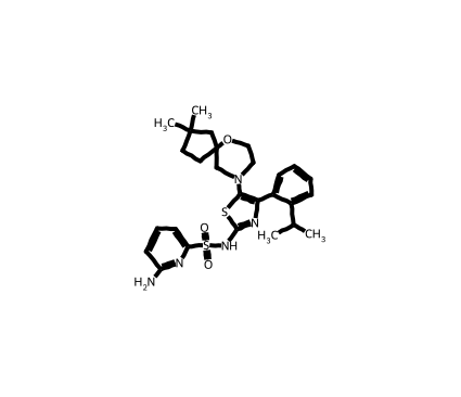 CC(C)c1ccccc1-c1nc(NS(=O)(=O)c2cccc(N)n2)sc1N1CCOC2(CCC(C)(C)C2)C1